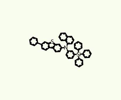 c1ccc(-c2ccc3c(c2)sc2cc(N(c4cccc([Si](c5ccccc5)(c5ccccc5)c5ccccc5)c4)c4cccc5ccccc45)ccc23)cc1